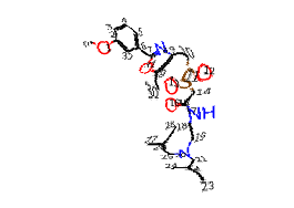 COc1cccc(-c2nc(CS(=O)(=O)CC(=O)NCCN(CC(C)C)CC(C)C)c(C)o2)c1